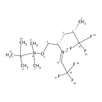 C[C@@H](C[C@@H](CO[Si](C)(C)C(C)(C)C)N=CC(F)(F)F)C(F)(F)F